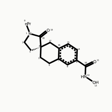 CCCN1CC[C@]2(CCc3cc(C(=O)NO)ccc3C2)C1=O